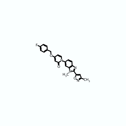 Cc1cc(-c2nc3ccc(-n4ccc(OCc5ccc(F)cc5)cc4=O)cc3n2C)on1